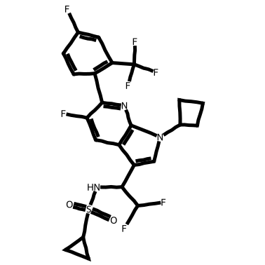 O=S(=O)(NC(c1cn(C2CCC2)c2nc(-c3ccc(F)cc3C(F)(F)F)c(F)cc12)C(F)F)C1CC1